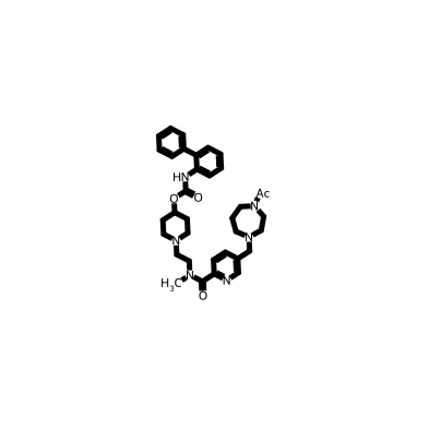 CC(=O)N1CCCN(Cc2ccc(C(=O)N(C)CCN3CCC(OC(=O)Nc4ccccc4-c4ccccc4)CC3)nc2)CC1